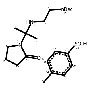 CCCCCCCCCCCCNC(C)(C)N1CCCC1=O.Cc1ccc(S(=O)(=O)O)cc1